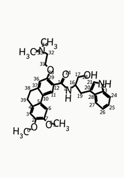 COc1cc2c(cc1OC)-c1cc(C(=O)NC(CO)Cc3c[nH]c4ccccc34)c(OCCN(C)C)cc1CC2